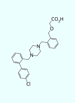 O=C(O)COCc1ccccc1CN1CCN(Cc2ccccc2-c2ccc(Cl)cc2)CC1